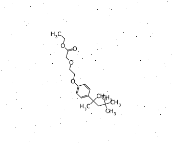 CCOC(=O)COCCOc1ccc(C(C)(C)CC(C)(C)C)cc1